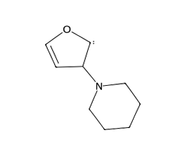 [C]1OC=CC1N1CCCCC1